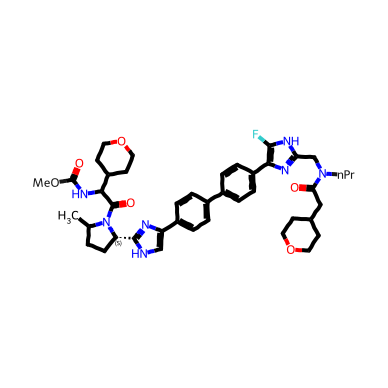 CCCN(Cc1nc(-c2ccc(-c3ccc(-c4c[nH]c([C@@H]5CCC(C)N5C(=O)C(NC(=O)OC)C5CCOCC5)n4)cc3)cc2)c(F)[nH]1)C(=O)CC1CCOCC1